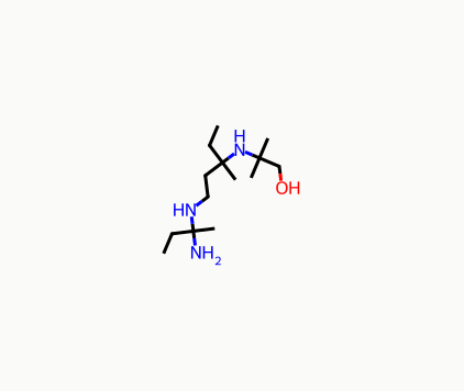 CCC(C)(N)NCCC(C)(CC)NC(C)(C)CO